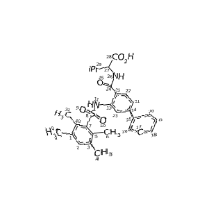 Cc1cc(C)c(C)c(S(=O)(=O)Nc2cc(-c3ccccc3)ccc2C(=O)NC(C(=O)O)C(C)C)c1C